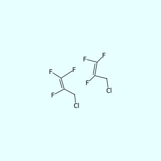 FC(F)=C(F)CCl.FC(F)=C(F)CCl